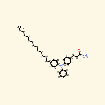 CCCCCCCCCCCCCCc1ccc(N(c2ccccc2)c2ccc(CCC(N)=O)cc2)cc1